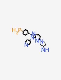 CN[C@@H]1CCN(c2ccc3nc(-c4ccc(P)cc4)n(-c4ccncc4)c3n2)C1